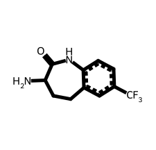 NC1CCc2cc(C(F)(F)F)ccc2NC1=O